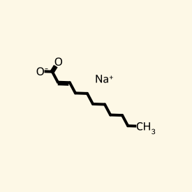 CCCCCCCCC=CC(=O)[O-].[Na+]